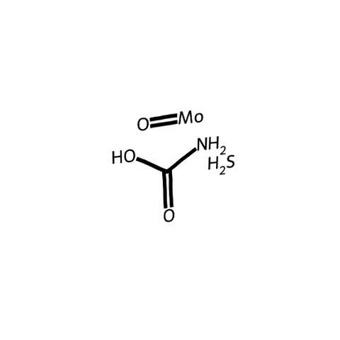 NC(=O)O.S.[O]=[Mo]